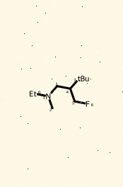 CCN(C)CC(CF)C(C)(C)C